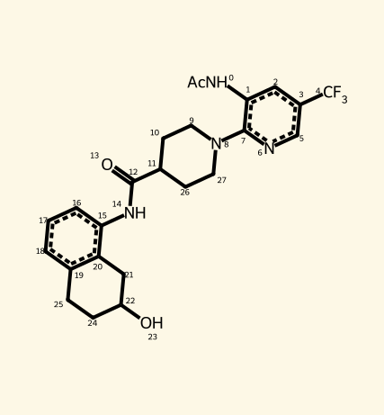 CC(=O)Nc1cc(C(F)(F)F)cnc1N1CCC(C(=O)Nc2cccc3c2CC(O)CC3)CC1